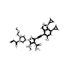 C=CC(=O)N1C[C@@H](n2nc(C#Cc3c(Cl)cc(C4CC4)c4c3cnn4C3CC3)c(C(N)=O)c2NC)C[C@@H]1COC